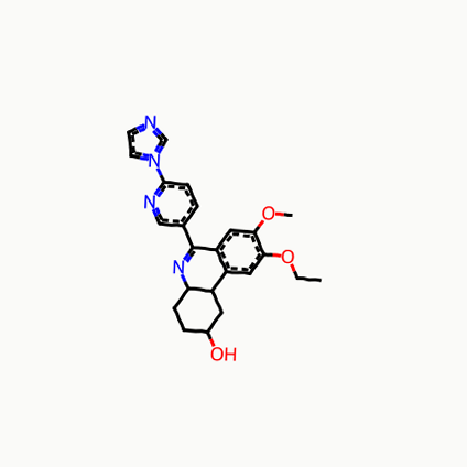 CCOc1cc2c(cc1OC)C(c1ccc(-n3ccnc3)nc1)=NC1CCC(O)CC21